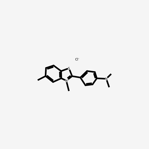 Cc1ccc2sc(-c3ccc(N(C)C)cc3)[n+](C)c2c1.[Cl-]